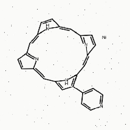 C1=Cc2cc3cc(-c4ccncc4)c(cc4nc(cc5ccc(cc1n2)[nH]5)C=C4)[nH]3.[Ni]